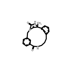 CC12NC(=O)N(Cc3cccc(c3)C(=O)NCCCc3cccc1c3)C2=O